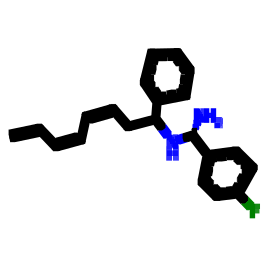 C=C/C=C\C=C/CC(N[C@H](N)c1ccc(F)cc1)c1ccccc1